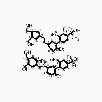 CCCc1cc(C(O)(C(F)(F)F)C(F)(F)F)ccc1-c1cc(CCc2ccc(CO)c(CO)c2)ccc1CC.CCCc1cc(C(O)(CC)CC)ccc1-c1cc(N(CCC)Cc2ccc(CO)c(CO)c2)ccc1CC